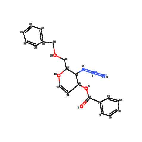 [N-]=[N+]=NC1C(OC(=O)c2ccccc2)C=COC1COCc1ccccc1